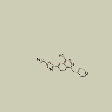 Cc1cnc(-c2ccc3c(CC4CCOCC4)nnc(O)c3c2)s1